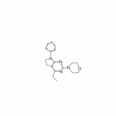 CCc1nc(N2CCOCC2)nc2c1CCN2c1ccccc1